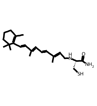 CC1=C(/C=C/C(C)=C/C=C/C(C)=C/CN[C@@H](CS)C(N)=O)C(C)(C)CCC1